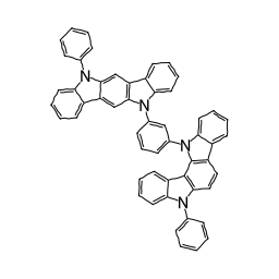 c1ccc(-n2c3ccccc3c3cc4c(cc32)c2ccccc2n4-c2cccc(-n3c4ccccc4c4ccc5c(c6ccccc6n5-c5ccccc5)c43)c2)cc1